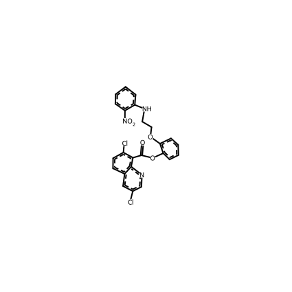 O=C(Oc1ccccc1OCCNc1ccccc1[N+](=O)[O-])c1c(Cl)ccc2cc(Cl)cnc12